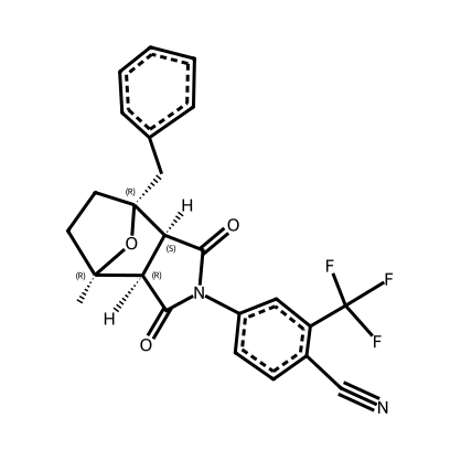 C[C@]12CC[C@](Cc3ccccc3)(O1)[C@H]1C(=O)N(c3ccc(C#N)c(C(F)(F)F)c3)C(=O)[C@H]12